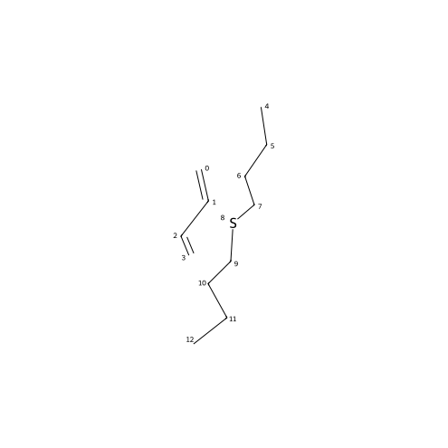 C=CC=C.CCCCSCCCC